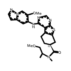 COCC(C)N(C)C(=O)[C@H]1CCc2c(sc3ncnc(Nc4cc5ccnn5cc4OC)c23)C1